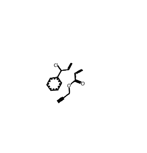 C#CCOC(=O)C=C.C=CC(Cl)c1ccccc1